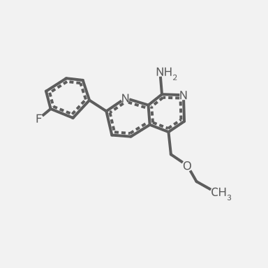 CCOCc1cnc(N)c2nc(-c3cccc(F)c3)ccc12